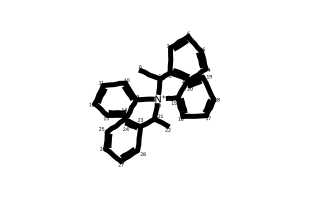 CC(c1ccccc1)[N+](c1ccccc1)(c1ccccc1)C(C)c1ccccc1